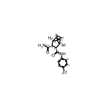 CCc1ccc(NC(=O)[C@H]2[C@@H](C(N)=O)[C@H]3CC[C@@H]2C32CC2)cc1